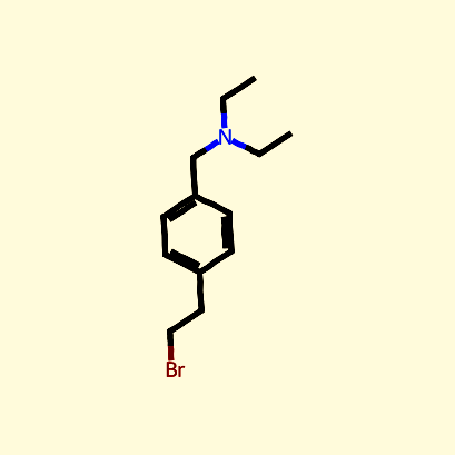 CCN(CC)Cc1ccc(CCBr)cc1